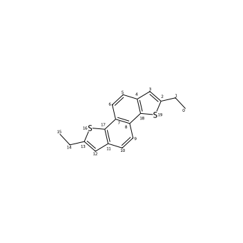 CCc1cc2ccc3c(ccc4cc(CC)sc43)c2s1